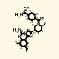 C[C@H]1CC[C@@H](c2nc3c4cc(F)cc(F)c4nc(N)n3n2)CN1C(=O)c1ccc([C@@H](N)C(F)(F)F)cc1